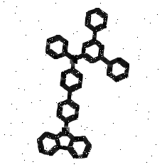 c1ccc(-c2cc(-c3ccccc3)cc(N(c3ccccc3)c3ccc(-c4ccc(-n5c6ccccc6c6ccccc65)cc4)cc3)c2)cc1